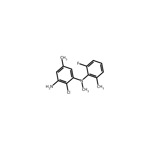 Cc1cc(N)c(Cl)c(N(C)c2c(C)cccc2F)c1